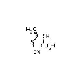 C=CSC#N.CC(=O)O